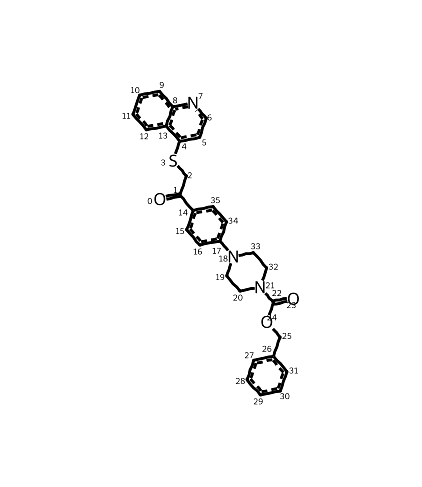 O=C(CSc1ccnc2ccccc12)c1ccc(N2CCN(C(=O)OCc3ccccc3)CC2)cc1